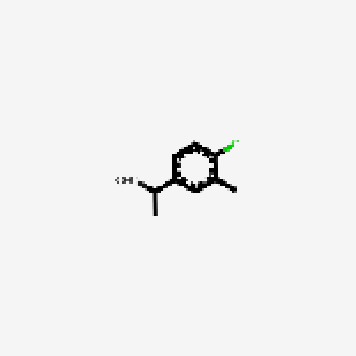 Cc1cc(C(C)[C]=O)ccc1Cl